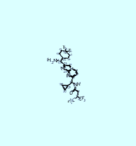 CC(CC(=O)N[C@H](c1ccn2cc([C@@H](N)C3CCC(F)(F)CC3)nc2n1)C1CC1)C(F)(F)F